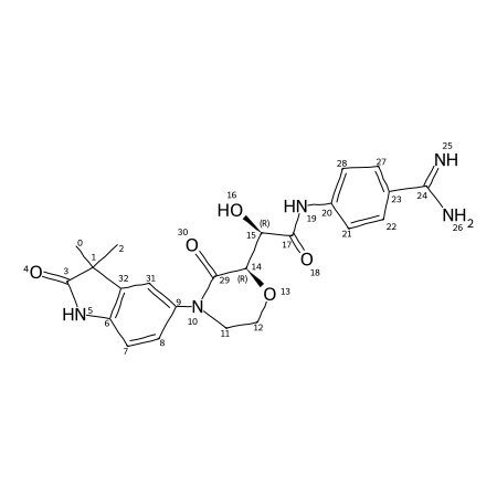 CC1(C)C(=O)Nc2ccc(N3CCO[C@H]([C@@H](O)C(=O)Nc4ccc(C(=N)N)cc4)C3=O)cc21